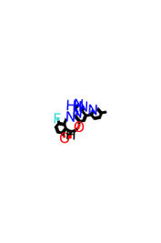 Cc1ccc(-c2cc3c(n4cnnc24)NCc2c(F)ccc4c2[C@@H](CO4)CO3)nc1